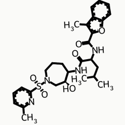 Cc1cccc(S(=O)(=O)N2CCCC(NC(=O)C(CC(C)C)NC(=O)c3oc4ccccc4c3C)[C@@H](O)C2)n1